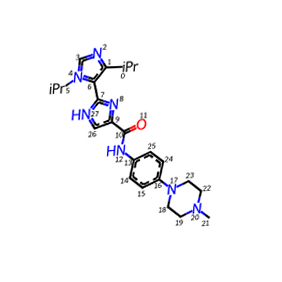 CC(C)c1ncn(C(C)C)c1-c1nc(C(=O)Nc2ccc(N3CCN(C)CC3)cc2)c[nH]1